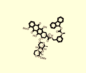 COc1cccc2c1C(=O)c1c(O)c3c(c(O)c1C2=O)C[C@@](O)(C(=O)NCc1cccc(N(C)C(=O)OC2c4ccccc4-c4ccccc42)c1)C[C@@H]3O[C@H]1C[C@H]2[C@H](O[C@@H]3[C@@H](OC)OCCN32)[C@H](C)O1